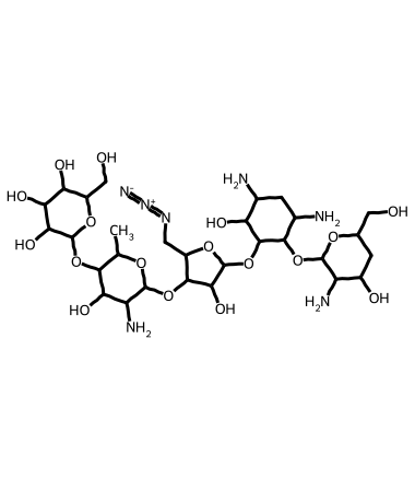 CC1OC(OC2C(CN=[N+]=[N-])OC(OC3C(O)C(N)CC(N)C3OC3OC(CO)CC(O)C3N)C2O)C(N)C(O)C1OC1OC(CO)C(O)C(O)C1O